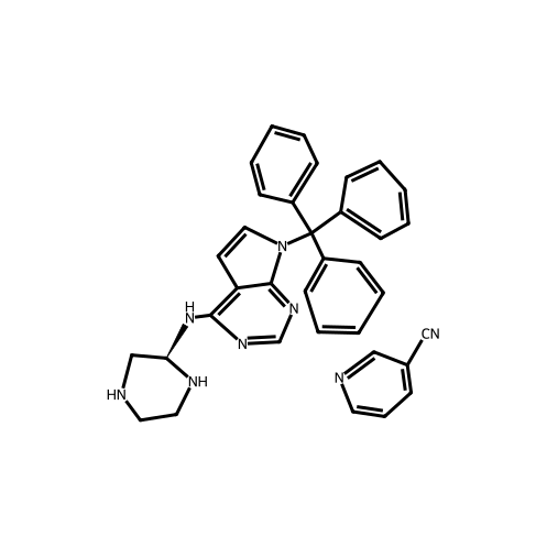 N#Cc1cccnc1.c1ccc(C(c2ccccc2)(c2ccccc2)n2ccc3c(N[C@@H]4CNCCN4)ncnc32)cc1